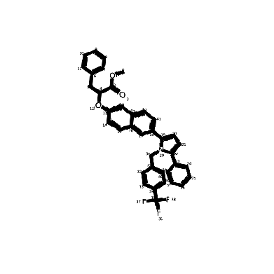 COC(=O)C(Cc1ccccc1)Oc1ccc2cc(-c3ccc(-c4ccccc4)n3Cc3ccc(C(F)(F)F)cc3)ccc2c1